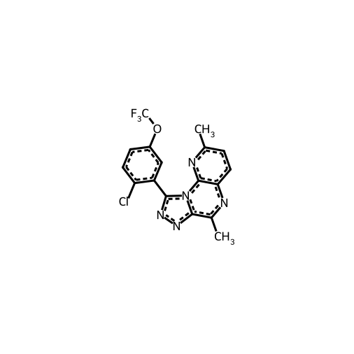 Cc1ccc2nc(C)c3nnc(-c4cc(OC(F)(F)F)ccc4Cl)n3c2n1